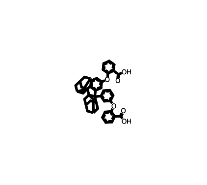 O=C(O)c1ccccc1Oc1cccc(C2(c3cccc(Oc4ccccc4C(=O)O)c3)C3CC4CC(C3)CC2(C23CC5CC(CC(C5)C2)C3)C4)c1